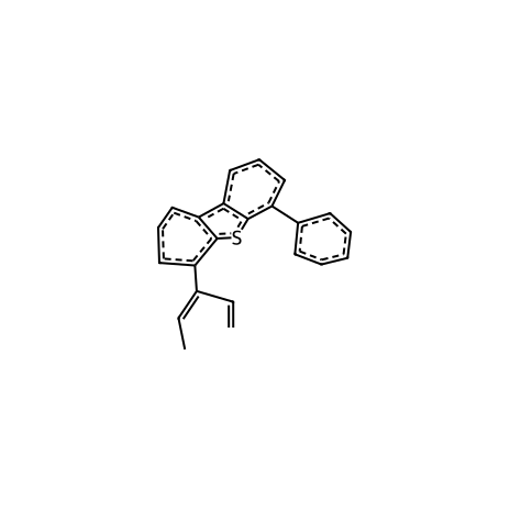 C=C/C(=C\C)c1cccc2c1sc1c(-c3ccccc3)cccc12